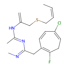 C=C(CSC/C=C\C)N/C(C)=N/C(CC1=C(F)CC=C(Cl)C=C1)=N\C